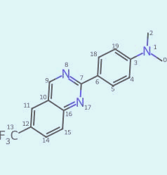 CN(C)c1ccc(-c2ncc3cc(C(F)(F)F)ccc3n2)cc1